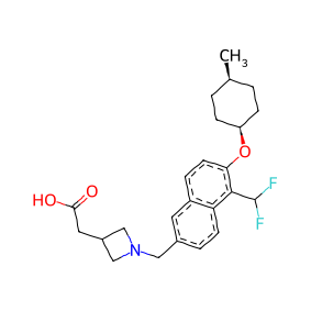 C[C@H]1CC[C@@H](Oc2ccc3cc(CN4CC(CC(=O)O)C4)ccc3c2C(F)F)CC1